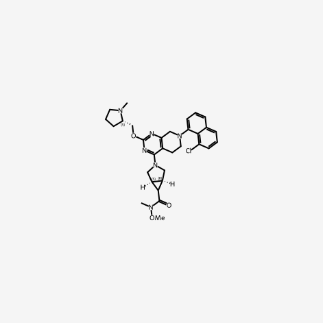 CON(C)C(=O)C1[C@H]2CN(c3nc(OC[C@@H]4CCCN4C)nc4c3CCN(c3cccc5cccc(Cl)c35)C4)C[C@@H]12